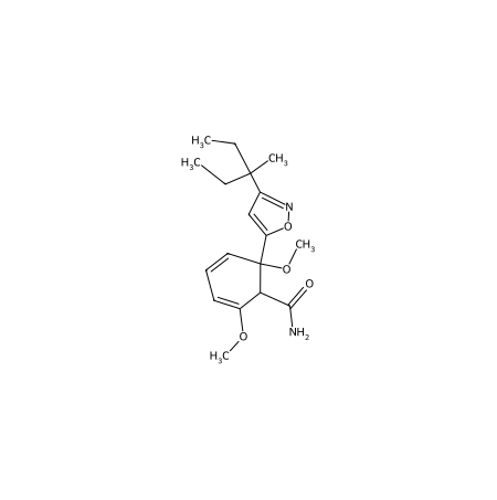 CCC(C)(CC)c1cc(C2(OC)C=CC=C(OC)C2C(N)=O)on1